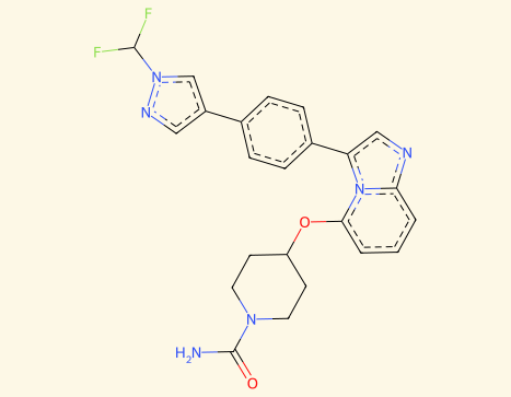 NC(=O)N1CCC(Oc2cccc3ncc(-c4ccc(-c5cnn(C(F)F)c5)cc4)n23)CC1